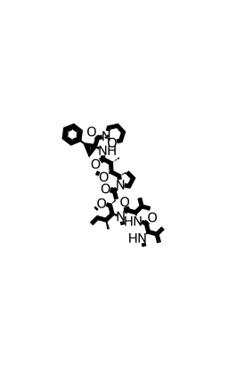 CC[C@H](C)[C@@H]([C@@H](CC(=O)N1CCC[C@H]1[C@H](OC)[C@@H](C)C(=O)N[C@@]1(C(=O)N2CCCCO2)C[C@H]1c1ccccc1)OC)N(C)C(=O)[C@@H](NC(=O)[C@@H](NC)C(C)C)C(C)C